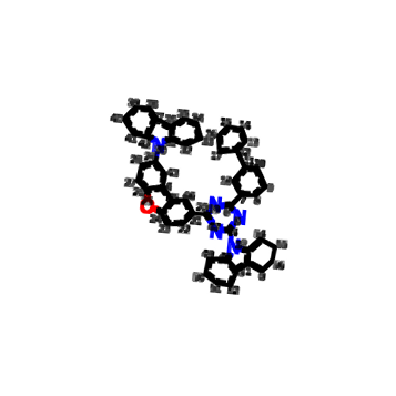 C1=c2c(n(-c3nc(-c4cccc(-c5ccccc5)c4)nc(-c4ccc5oc6ccc(-n7c8ccccc8c8ccccc87)cc6c5c4)n3)c3ccccc23)=CCC1